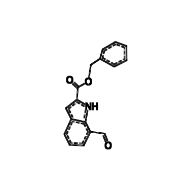 O=Cc1cccc2cc(C(=O)OCc3ccccc3)[nH]c12